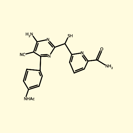 CC(=O)Nc1ccc(-c2nc(C(S)c3cccc(C(N)=O)n3)nc(N)c2C#N)cc1